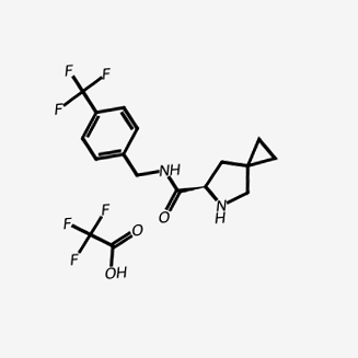 O=C(NCc1ccc(C(F)(F)F)cc1)[C@H]1CC2(CC2)CN1.O=C(O)C(F)(F)F